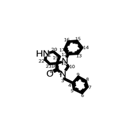 O=C1N(Cc2ccccc2)CN(c2ccccc2)C12CCNCC2